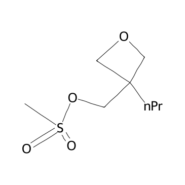 CCCC1(COS(C)(=O)=O)COC1